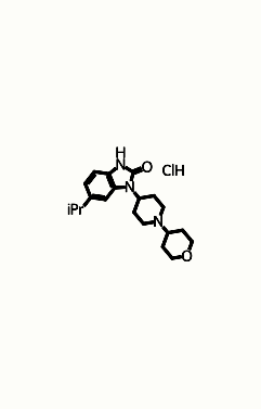 CC(C)c1ccc2[nH]c(=O)n(C3CCN(C4CCOCC4)CC3)c2c1.Cl